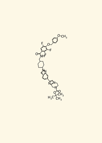 COc1ccc(COc2c(F)cc(C(=O)NCC3CCC(n4cc5ccc(-c6cn7c(n6)CN(C(=O)OC(C)(C)C)CC7)cc5n4)CC3)c(F)c2F)cc1